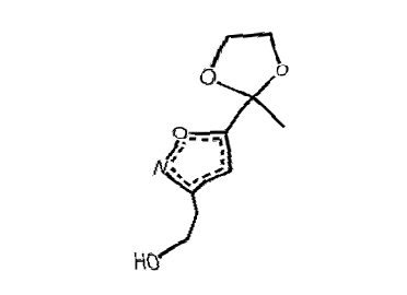 CC1(c2cc(CO)no2)OCCO1